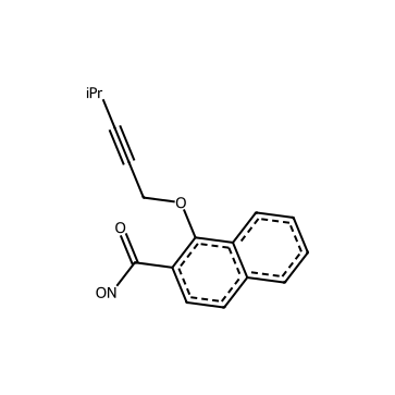 CC(C)C#CCOc1c(C(=O)N=O)ccc2ccccc12